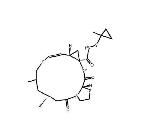 CC1CC/C=C\[C@@H]2C[C@@]2(C(=O)NSC2(C)CC2)NC(=O)[C@@H]2CCCN2C(=O)C[C@H](C)C1